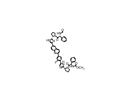 COC(=O)N[C@@H](C(=O)N1CCC[C@H]1c1ncc(-c2ccc(-c3ccc4cc(-c5c[nH]c([C@@H]6CCCN6C(=O)[C@H](NC=O)c6ccccc6)n5)ccc4n3)cc2F)[nH]1)c1ccccc1